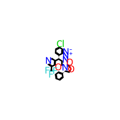 [N-]=[N+]=N[C@H](C(=O)N1C(=O)OC[C@@H]1c1ccccc1)[C@@H](c1ccc(Cl)cc1)c1cncc(C(F)(F)F)c1